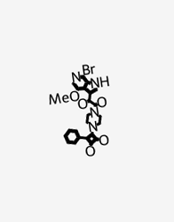 COc1cnc(Br)c2[nH]cc(C(=O)C(=O)N3CCN(c4c(-c5ccccc5)c(=O)c4=O)CC3)c12